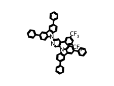 FC(F)(F)c1cc(-c2cc(-n3c4ccc(-c5ccccc5)cc4c4cc(-c5ccccc5)ccc43)ncc2-n2c3ccc(-c4ccccc4)cc3c3cc(-c4ccccc4)ccc32)cc(C(F)(F)F)c1